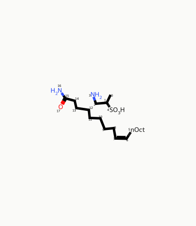 CC(CN)S(=O)(=O)O.CCCCCCCC/C=C\CCCCCCCC(N)=O